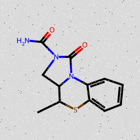 CC1Sc2ccccc2N2C(=O)N(C(N)=O)CC12